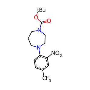 CC(C)(C)OC(=O)N1CCCN(c2ccc(C(F)(F)F)cc2[N+](=O)[O-])CC1